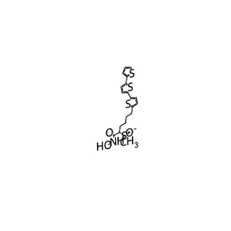 C[S+]([O-])C(CCCCc1ccc(-c2ccc(-c3cccs3)s2)s1)C(=O)NO